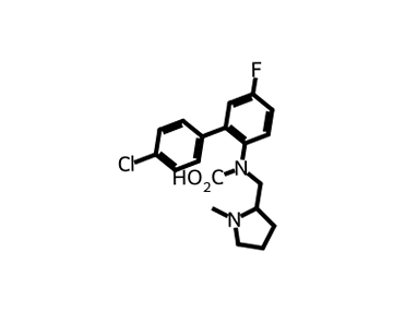 CN1CCCC1CN(C(=O)O)c1ccc(F)cc1-c1ccc(Cl)cc1